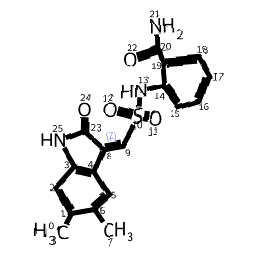 Cc1cc2c(cc1C)/C(=C/S(=O)(=O)Nc1ccccc1C(N)=O)C(=O)N2